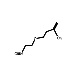 C=C(O)CCOCCN=O